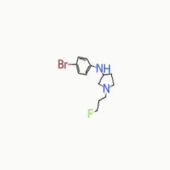 FCCCN1CC[C@H](Nc2ccc(Br)cc2)C1